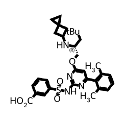 Cc1cccc(C)c1-c1cc(OC[C@@H](CC(C)(C)C)NC2CC3(CC3)C2)nc(NS(=O)(=O)c2cccc(C(=O)O)c2)n1